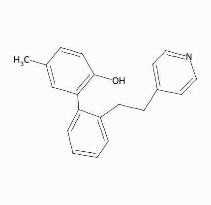 Cc1ccc(O)c(-c2ccccc2CCc2ccncc2)c1